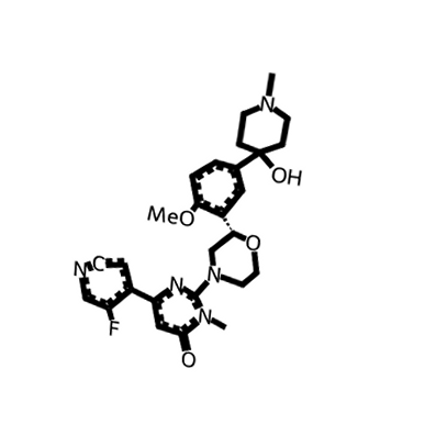 COc1ccc(C2(O)CCN(C)CC2)cc1[C@H]1CN(c2nc(-c3ccncc3F)cc(=O)n2C)CCO1